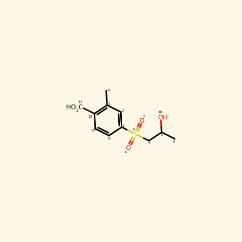 Cc1cc(S(=O)(=O)CC(C)O)ccc1C(=O)O